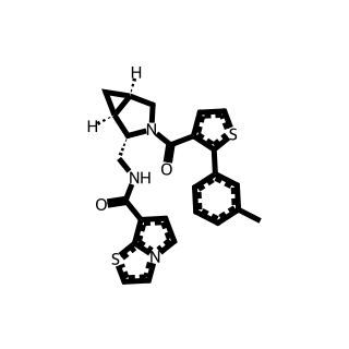 Cc1cccc(-c2sccc2C(=O)N2C[C@@H]3C[C@@H]3[C@H]2CNC(=O)c2ccn3ccsc23)c1